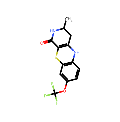 CC1CC2=C(Sc3cc(OC(F)(F)F)ccc3N2)C(=O)N1